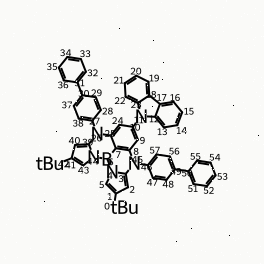 CC(C)(C)c1cc2n(c1)B1c3c(cc(-n4c5ccccc5c5ccccc54)cc3N(c3ccc(-c4ccccc4)cc3)c3cc(C(C)(C)C)cn31)N2c1ccc(-c2ccccc2)cc1